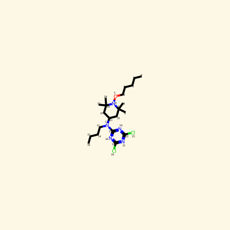 CCCCCON1C(C)(C)CC(N(CCCC)c2nc(Cl)nc(Cl)n2)CC1(C)C